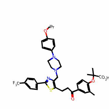 Cc1cc(C(=O)CCc2sc(-c3ccc(C(F)(F)F)cc3)nc2CN2CCN(c3ccc(OC(C)C)cc3)CC2)ccc1OC(C)(C)C(=O)O